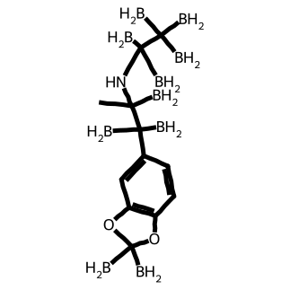 BC1(B)Oc2ccc(C(B)(B)C(B)(C)NC(B)(B)C(B)(B)B)cc2O1